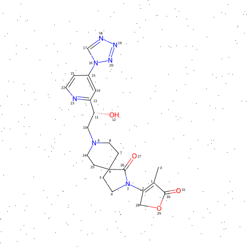 CC1=C(N2CCC3(CCN(C[C@@H](O)c4cc(-n5cnnn5)ccn4)CC3)C2=O)COC1=O